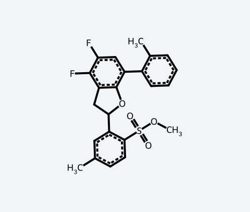 COS(=O)(=O)c1ccc(C)cc1C1Cc2c(F)c(F)cc(-c3ccccc3C)c2O1